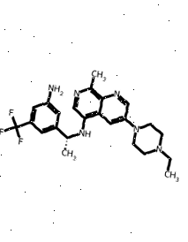 CCN1CCN(c2cnc3c(C)ncc(N[C@H](C)c4cc(N)cc(C(F)(F)F)c4)c3c2)CC1